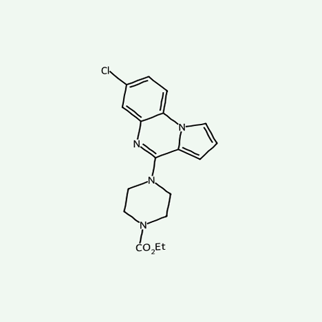 CCOC(=O)N1CCN(c2nc3cc(Cl)ccc3n3cccc23)CC1